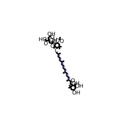 CC(=O)OC1CC(C)(C)C(=C=C/C(C)=C/C=C/C(C)=C/C=C/C=C(C)/C=C/C=C(\C)C(=O)CC2(O)C(C)(C)CC(O)CC2(C)O)C(C)(OC(=O)CC(O)(CC(=O)O)C(=O)O)C1